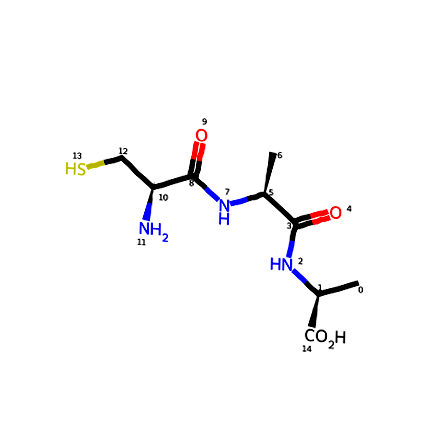 C[C@H](NC(=O)[C@H](C)NC(=O)[C@@H](N)CS)C(=O)O